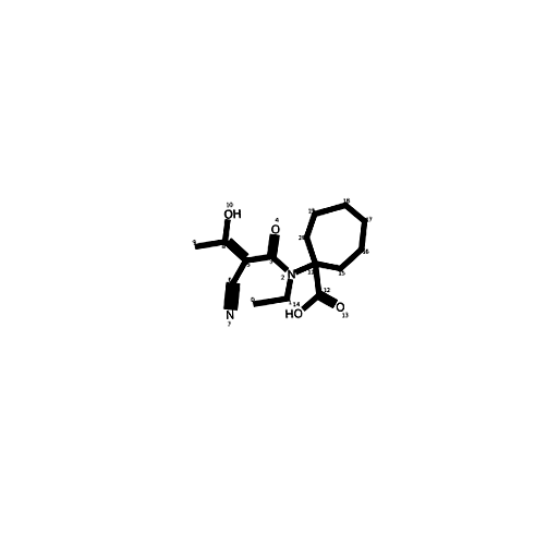 CCN(C(=O)/C(C#N)=C(/C)O)C1(C(=O)O)CCCCCC1